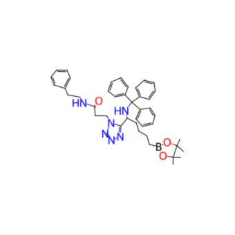 CC1(C)OB(CCCCC(NC(c2ccccc2)(c2ccccc2)c2ccccc2)c2nnnn2CCC(=O)NCCc2ccccc2)OC1(C)C